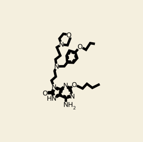 CCCCOc1nc(N)c2[nH]c(=O)n(CCCN(CCCN3CCOCC3)Cc3ccc(OCCC)cc3)c2n1